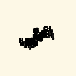 BC(B)(B)OCC1(C)CCCN1C(=O)c1nn(-c2ccsc2)c2c1COc1cc(OC)c(C=C(C)C)cc1-2